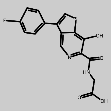 O=C(O)CNC(=O)c1ncc2c(-c3ccc(F)cc3)csc2c1O